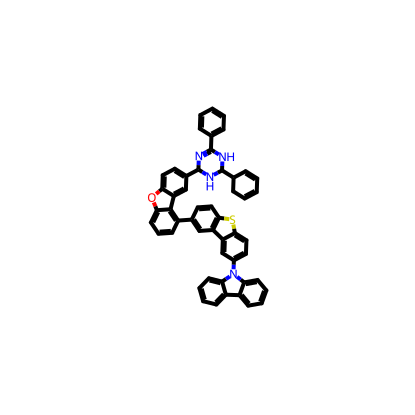 C1=CCC(C2NC(c3ccccc3)=NC(c3ccc4oc5cccc(-c6ccc7sc8ccc(-n9c%10ccccc%10c%10ccccc%109)cc8c7c6)c5c4c3)N2)C=C1